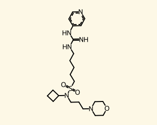 N=C(NCCCCCS(=O)(=O)N(CCCN1CCOCC1)C1CCC1)Nc1ccncc1